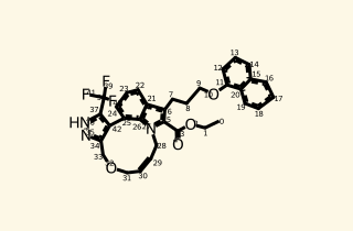 CCOC(=O)c1c(CCCOc2cccc3ccccc23)c2cccc3c2n1C/C=C\COCc1n[nH]c(C(F)(F)F)c1-3